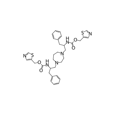 O=C(NC(Cc1ccccc1)CN1CCCN(CC(Cc2ccccc2)NC(=O)OCc2cncs2)CC1)OCc1cncs1